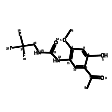 COc1cc(O)c(C(C)=O)cc1NC(=O)NCC(F)(F)F